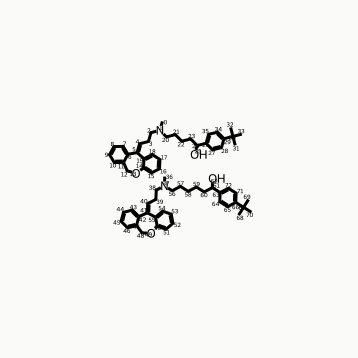 CN(CCC=C1c2ccccc2COc2ccccc21)CCCCC(O)c1ccc(C(C)(C)C)cc1.CN(CCC=C1c2ccccc2COc2ccccc21)CCCCCC(O)c1ccc(C(C)(C)C)cc1